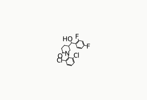 O=C1CCC(C(O)c2ccc(F)cc2F)CN1c1c(Cl)cccc1Cl